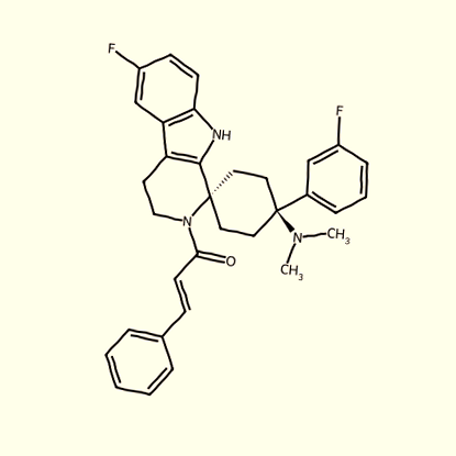 CN(C)[C@]1(c2cccc(F)c2)CC[C@@]2(CC1)c1[nH]c3ccc(F)cc3c1CCN2C(=O)/C=C/c1ccccc1